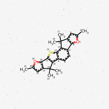 Cc1cc2c(o1)-c1ccc3c4c(sc3c1C2(C)C)-c1oc(C)cc1C4(C)C